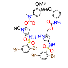 COc1cccc(N(C)C(=O)O[C@@H]2C[C@@H](NS(=O)(=O)c3cc(Br)ccc3Br)CN2C#N)c1.COc1cccc(NC(=O)OC[C@H]2C[C@@H](NS(=O)(=O)c3cc(Br)ccc3Br)CN2)c1